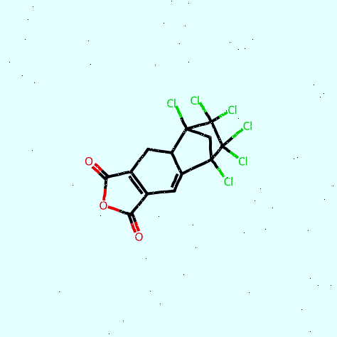 O=C1OC(=O)C2=C1C=C1C(C2)C2(Cl)CC1(Cl)C(Cl)(Cl)C2(Cl)Cl